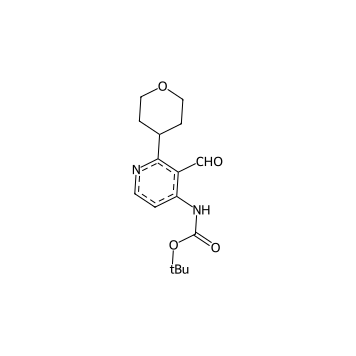 CC(C)(C)OC(=O)Nc1ccnc(C2CCOCC2)c1C=O